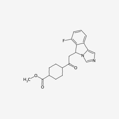 COC(=O)C1CCC(C(=O)CC2c3c(F)cccc3-c3cncn32)CC1